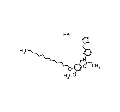 Br.CCCCCCCCCCCCCCOc1cc(CN(C(=O)CC)c2cccc(CN3C=CSC3)c2)ccc1OC